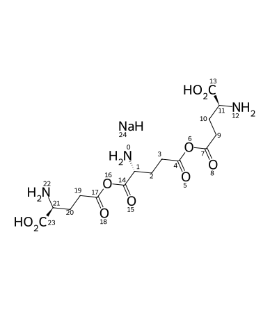 N[C@H](CCC(=O)OC(=O)CC[C@H](N)C(=O)O)C(=O)OC(=O)CC[C@H](N)C(=O)O.[NaH]